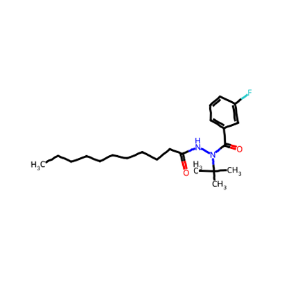 CCCCCCCCCCC(=O)NN(C(=O)c1cccc(F)c1)C(C)(C)C